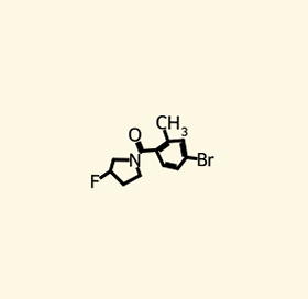 Cc1cc(Br)ccc1C(=O)N1CCC(F)C1